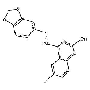 Oc1nc(NCc2ccc3c(c2)OCO3)c2cc(Cl)ccc2n1